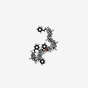 C[Si](C)(CCc1ccccc1)O[Si](C)(C)O[Si](C)(C)O[Si](C)(C)O[Si](C)(C)O[Si](C)(C)O[Si](C)(C)O[Si](C)(C)O[Si](C)(C)O[Si](C)(O[Si](C)(C)O[Si](C)(C)O[Si](C)(O[Si](C)(C)O[Si](C)(C)O[Si](C)(C)CCc1ccccc1)c1ccccc1)c1ccccc1